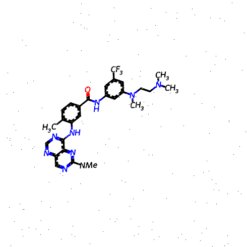 CNc1ncc2ncnc(Nc3cc(C(=O)Nc4cc(N(C)CCN(C)C)cc(C(F)(F)F)c4)ccc3C)c2n1